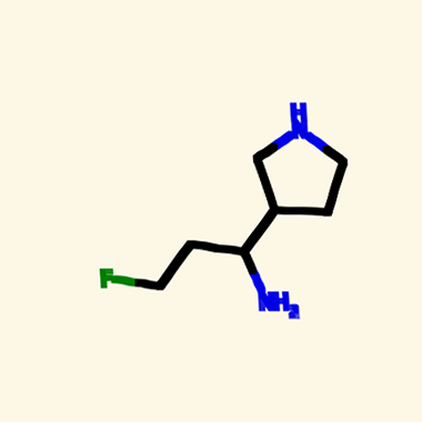 NC(CCF)C1CCNC1